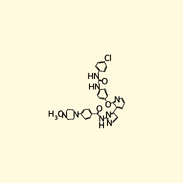 CN1CCN(c2ccc(C(=O)Nc3nccc(-c4cccnc4Oc4ccc(NC(=O)Nc5ccc(Cl)cc5)cc4)n3)cc2)CC1